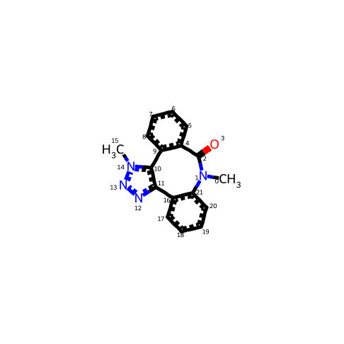 CN1C(=O)c2ccccc2-c2c(nnn2C)-c2ccccc21